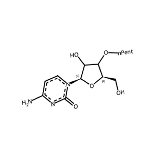 CCCCCOC1C(O)[C@H](n2ccc(N)nc2=O)O[C@@H]1CO